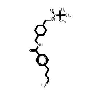 CCCCc1ccc(C(=O)NCC2CCC(CN[S+]([O-])C(C)(C)C)CC2)cc1